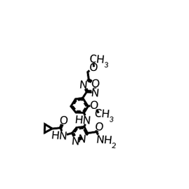 COCc1nc(-c2cccc(Nc3cc(NC(=O)C4CC4)nnc3C(N)=O)c2OC)no1